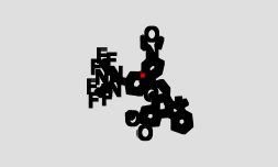 COc1cc2c3c(c4c(c2cc1OC)-c1ccccc1C4(C)C)C=CC(c1ccc(-c2nc(C(F)(F)F)nc(C(F)(F)F)n2)cc1)(c1ccc(N2CCOCC2)cc1)O3